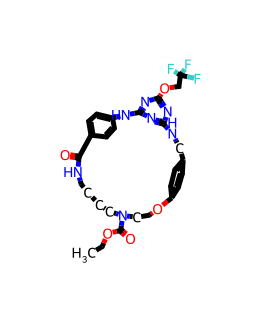 CCOC(=O)N1CCCCNC(=O)c2ccc(cc2)Nc2nc(nc(OCC(F)(F)F)n2)NCc2ccc(cc2)OCC1